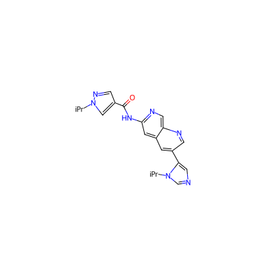 CC(C)n1cc(C(=O)Nc2cc3cc(-c4cncn4C(C)C)cnc3cn2)cn1